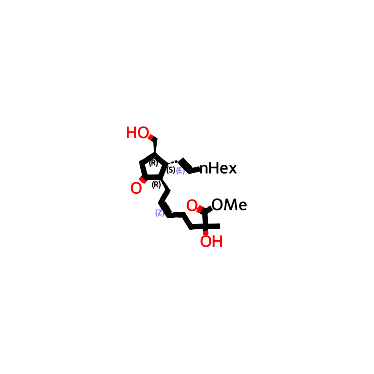 CCCCCC/C=C/[C@H]1[C@H](CO)CC(=O)[C@@H]1C/C=C\CCC(C)(O)C(=O)OC